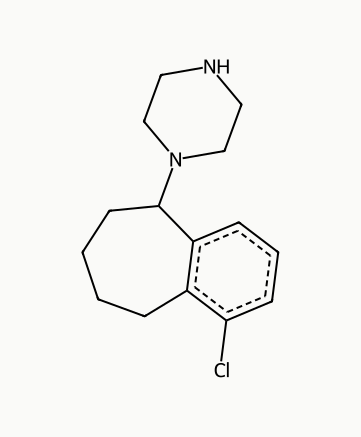 Clc1cccc2c1CCCCC2N1CCNCC1